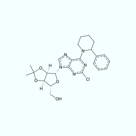 CC1(C)O[C@@H]2[C@H](O1)[C@@H](CO)O[C@H]2n1cnc2c(N3CCCCC3c3ccccc3)nc(Cl)nc21